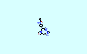 C[C@@H]1COCCN1c1cc(-c2ccc(NC(=O)C3CC3)cc2)c2cnn(-c3cc[nH]n3)c2n1